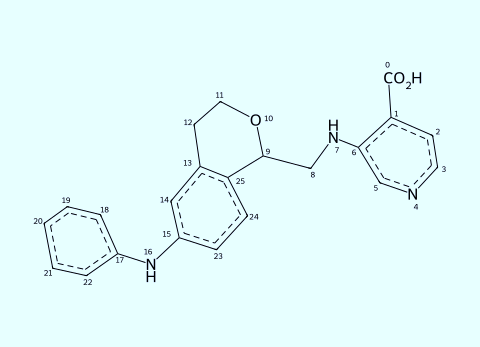 O=C(O)c1ccncc1NCC1OCCc2cc(Nc3ccccc3)ccc21